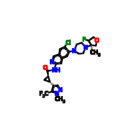 Cn1ncc([C@@H]2C[C@H]2C(=O)Nc2cc3cc(N4CCN([C@]5(C)COC[C@@H]5F)CC4)c(Cl)cc3cn2)c1C(F)(F)F